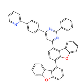 c1ccc(-c2nc(-c3ccc(-c4ccccn4)cc3)cc(-c3ccc(-c4cccc5oc6ccccc6c45)c4oc5ccccc5c34)n2)cc1